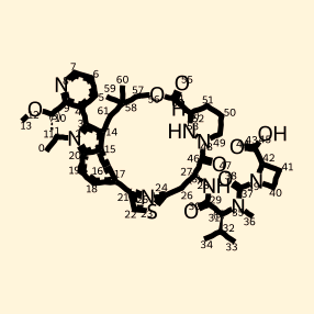 CCn1c(-c2cccnc2[C@H](C)OC)c2c3cc(ccc31)-c1csc(n1)C[C@H](NC(=O)[C@H](C(C)C)N(C)C(=O)N1CCC1C(=O)O)C(=O)N1CCC[C@H](N1)C(=O)OCC(C)(C)C2